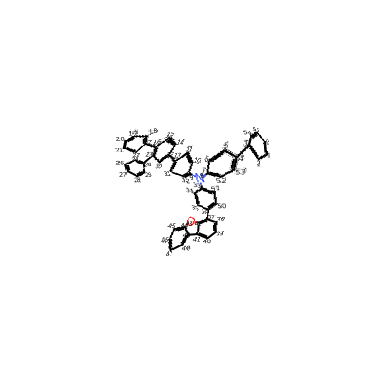 c1ccc(-c2ccc(N(c3ccc(-c4ccc(-c5ccccc5)c(-c5ccccc5)c4)cc3)c3ccc(-c4cccc5c4oc4ccccc45)cc3)cc2)cc1